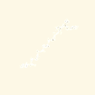 CCCCC(C)COCCOCCOCCNC(=O)OC(C)(C)C